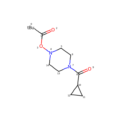 CC(C)(C)C(=O)ON1CCN(C(=O)C2CC2)CC1